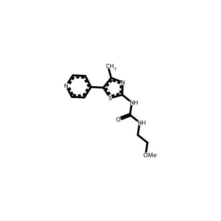 COCCNC(=O)Nc1nc(C)c(-c2ccncc2)s1